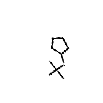 [CH2]C(C)(C)SC1CCCC1